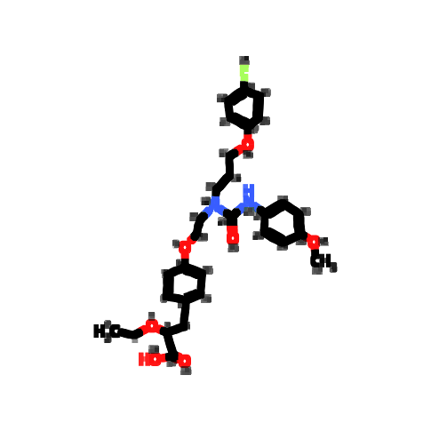 CCOC(Cc1ccc(OCCN(CCCOc2ccc(F)cc2)C(=O)Nc2ccc(OC)cc2)cc1)C(=O)O